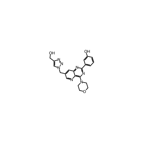 OCc1cn(Cc2cnc3c(N4CCOCC4)nc(-c4cccc(O)c4)nc3c2)nn1